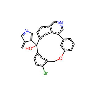 C=C1C=NC=C1C1(O)c2ccc(Br)c(c2)COc2cccc(c2)-c2cncc3ccc1cc23